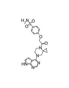 NS(=O)(=O)c1ccc(OCC(=O)N2CCN(c3ncnc4[nH]ccc34)CC23CC3)cc1